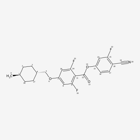 C[C@H]1CC[C@H](COc2cc(F)c(C(=O)Oc3ccc(C#N)c(F)c3)c(F)c2)CC1